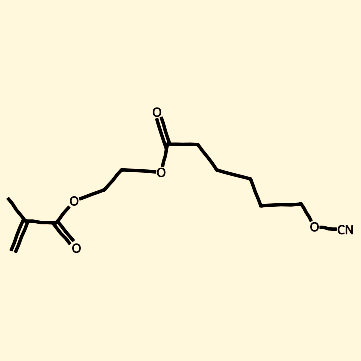 C=C(C)C(=O)OCCOC(=O)CCCCCOC#N